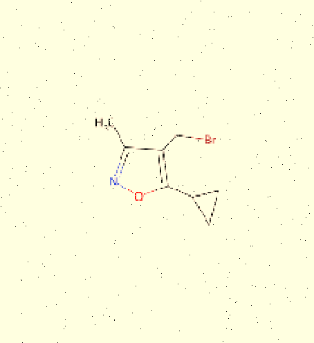 Cc1noc(C2CC2)c1CBr